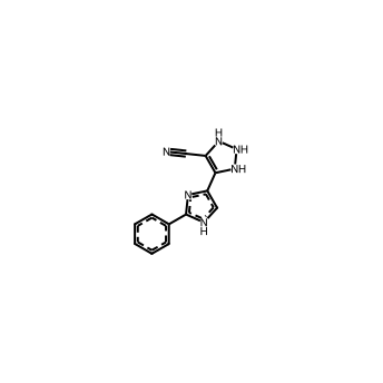 N#CC1=C(c2c[nH]c(-c3ccccc3)n2)NNN1